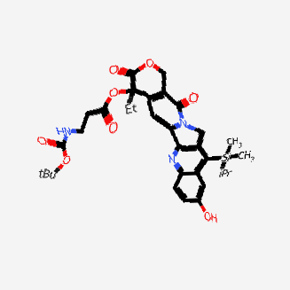 CCC1(OC(=O)CCNC(=O)OC(C)(C)C)C(=O)OCc2c1cc1n(c2=O)Cc2c-1nc1ccc(O)cc1c2[Si](C)(C)C(C)C